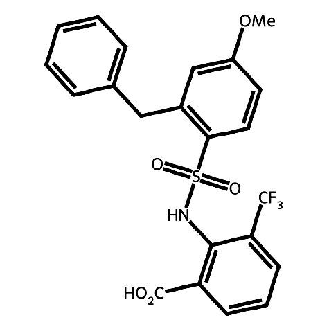 COc1ccc(S(=O)(=O)Nc2c(C(=O)O)cccc2C(F)(F)F)c(Cc2ccccc2)c1